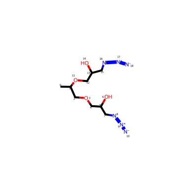 CC(COCC(O)CN=[N+]=[N-])OCC(O)CN=[N+]=[N-]